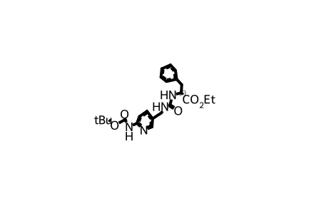 CCOC(=O)[C@H](Cc1ccccc1)NC(=O)NCc1ccc(NC(=O)OC(C)(C)C)nc1